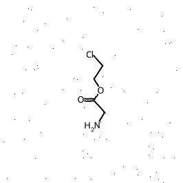 NCC(=O)OCCCl